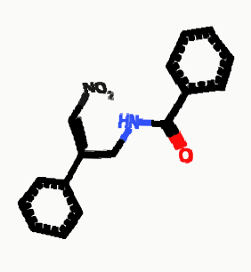 O=C(NC/C(=C\[N+](=O)[O-])c1ccccc1)c1ccccc1